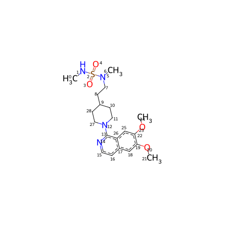 CNS(=O)(=O)N(C)CCC1CCN(c2nccc3cc(OC)c(OC)cc23)CC1